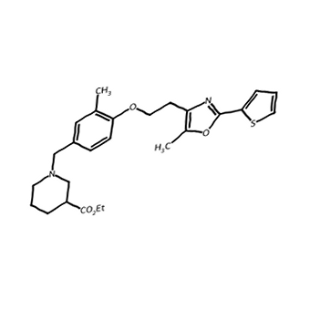 CCOC(=O)C1CCCN(Cc2ccc(OCCc3nc(-c4cccs4)oc3C)c(C)c2)C1